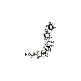 O=C(O)C1CCN(C(=O)c2cn3c(n2)CCC(c2ccc(Oc4ccccc4)cc2)C3)CC1